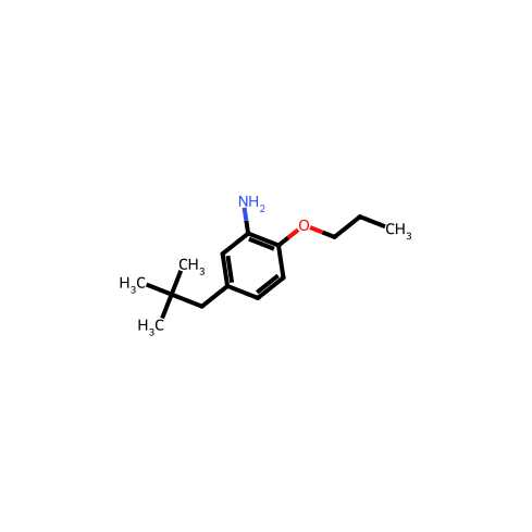 CCCOc1ccc(CC(C)(C)C)cc1N